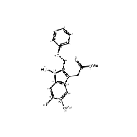 COC(=O)Cc1c(CSc2ccccc2)n(C)c2cc(F)c(OC)cc12